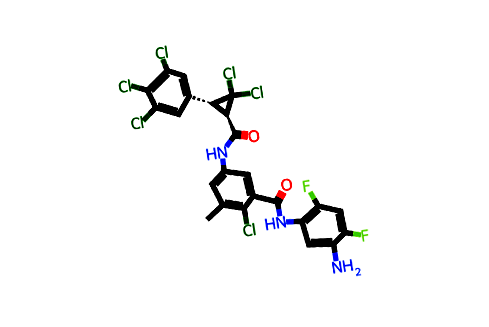 Cc1cc(NC(=O)[C@H]2[C@H](c3cc(Cl)c(Cl)c(Cl)c3)C2(Cl)Cl)cc(C(=O)Nc2cc(N)c(F)cc2F)c1Cl